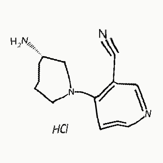 Cl.N#Cc1cnccc1N1CC[C@H](N)C1